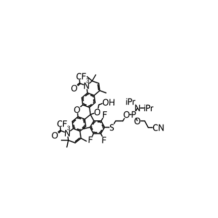 CC1=CC(C)(C)N(C(=O)C(F)(F)F)c2cc3c(cc21)C(OCO)(c1c(C)c(F)c(F)c(SCCOP(OCCC#N)N(C(C)C)C(C)C)c1F)c1cc2c(cc1O3)N(C(=O)C(F)(F)F)C(C)(C)C=C2C